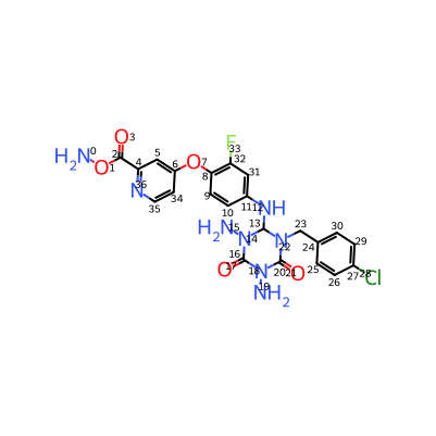 NOC(=O)c1cc(Oc2ccc(NC3N(N)C(=O)N(N)C(=O)N3Cc3ccc(Cl)cc3)cc2F)ccn1